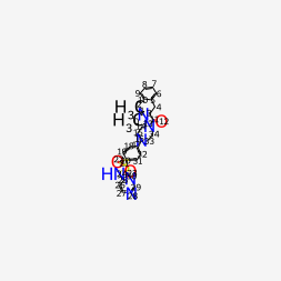 CN(C)C(Cc1ccccc1)C(=O)N1CCN(c2ccc(S(=O)(=O)Nc3ccncn3)cc2)CC1